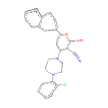 N#Cc1c(N2CCN(c3ccccc3Cl)CC2)cc(-c2ccc3ccccc3c2)oc1=O